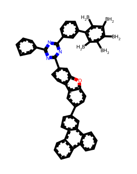 Bc1c(B)c(B)c(-c2cccc(-c3nc(-c4ccccc4)nc(-c4ccc5c(c4)oc4ccc(-c6ccc7c8ccccc8c8ccccc8c7c6)cc45)n3)c2)c(B)c1B